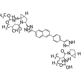 COC(=O)N[C@H](C(=O)N1[C@@H]2C[C@H]2C[C@H]1c1nc(-c2ccc3cc(-c4ccc(-c5c[nH]c([C@@H]6C[C@H]7C[C@H]7N6C(=O)[C@@H](NC(=O)O)C(C)C)n5)cc4)ccc3c2)c[nH]1)C(C)C